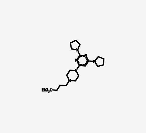 CCOC(=O)CCCN1CCN(c2cc(N3CCCC3)nc(N3CCCC3)n2)CC1